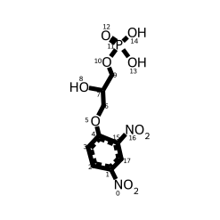 O=[N+]([O-])c1ccc(OCC(O)COP(=O)(O)O)c([N+](=O)[O-])c1